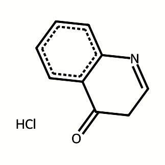 Cl.O=C1CC=Nc2ccccc21